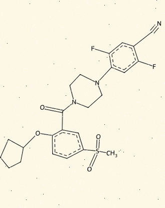 CS(=O)(=O)c1ccc(OC2CCCC2)c(C(=O)N2CCN(c3cc(F)c(C#N)cc3F)CC2)c1